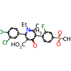 CCn1c(C)c(-c2ccc(S(C)(=O)=O)cc2F)c(=O)c(C(=O)O)c1-c1ccc(Cl)c(Cl)c1